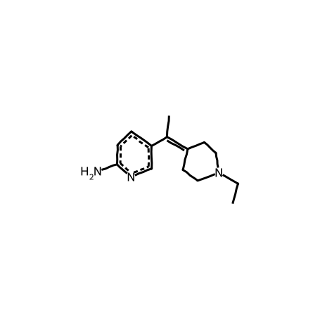 CCN1CCC(=C(C)c2ccc(N)nc2)CC1